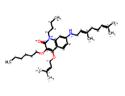 CCCCCCOc1c(OCC=C(C)C)c2ccc(NC/C=C(\C)CCC=C(C)C)cc2n(CCCC)c1=O